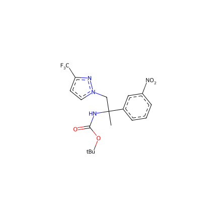 CC(C)(C)OC(=O)NC(C)(Cn1ccc(C(F)(F)F)n1)c1cccc([N+](=O)[O-])c1